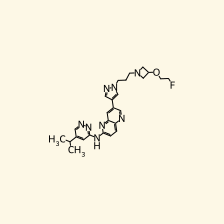 CC(C)c1cnnc(Nc2ccc3ncc(-c4cnn(CCCN5CC(OCCF)C5)c4)cc3n2)c1